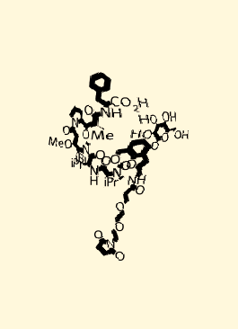 CCC(C)[C@@H]([C@@H](CC(=O)N1CCC[C@H]1[C@H](OC)[C@@H](C)C(=O)NC(Cc1ccccc1)C(=O)O)OC)N(C)C(=O)[C@@H](NC(=O)[C@H](C(C)C)N(C)C(=O)OCc1ccc(O[C@@H]2O[C@H](CO)[C@H](O)[C@H](O)[C@H]2O)c2cc(CNC(=O)CCOCCOCCN3C(=O)C=CC3=O)oc12)C(C)C